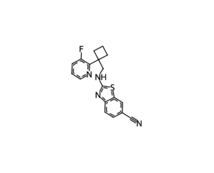 N#Cc1ccc2nc(NCC3(c4ncccc4F)CCC3)sc2c1